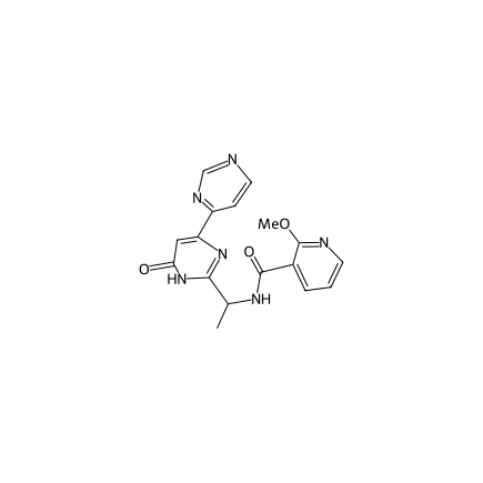 COc1ncccc1C(=O)NC(C)c1nc(-c2ccncn2)cc(=O)[nH]1